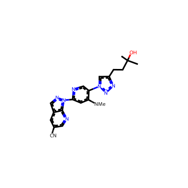 CNc1cc(-n2ncc3cc(C#N)cnc32)ncc1-n1cc(CCC(C)(C)O)nn1